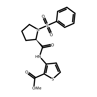 COC(=O)c1sccc1NC(=O)[C@H]1CCCN1S(=O)(=O)c1ccccc1